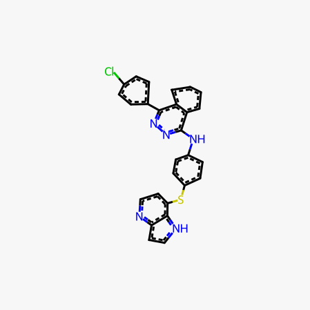 Clc1ccc(-c2nnc(Nc3ccc(Sc4ccnc5cc[nH]c45)cc3)c3ccccc23)cc1